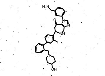 NCc1cccc(-n2cnc3c2C(=O)CC(c2ccc(-c4ccccc4CN4CCC(O)CC4)cc2F)NC3)c1